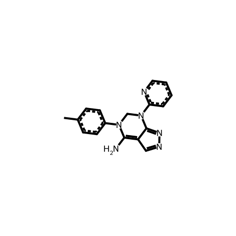 Cc1ccc(N2CN(c3ccccn3)C3=NN=CC3=C2N)cc1